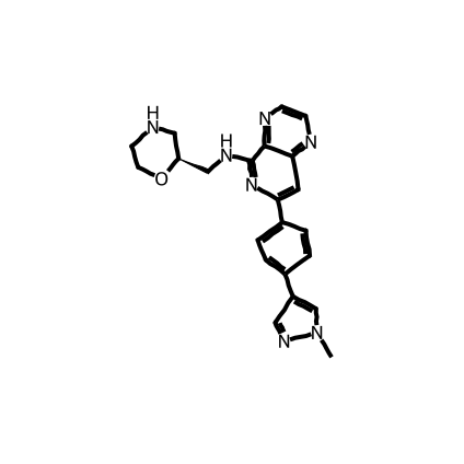 Cn1cc(-c2ccc(-c3cc4nccnc4c(NC[C@@H]4CNCCO4)n3)cc2)cn1